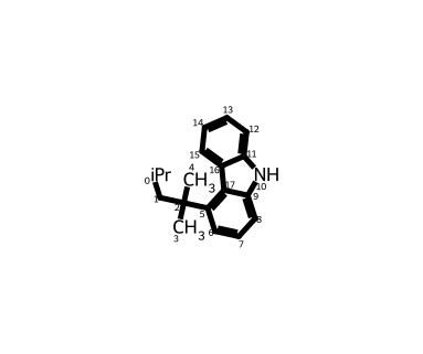 CC(C)CC(C)(C)c1cccc2[nH]c3ccccc3c12